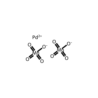 [O]=[Mn](=[O])(=[O])[O-].[O]=[Mn](=[O])(=[O])[O-].[Pd+2]